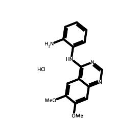 COc1cc2ncnc(Nc3ccccc3N)c2cc1OC.Cl